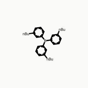 CCCCc1cccc(B(c2cccc(CCCC)c2)c2cccc(CCCC)c2)c1